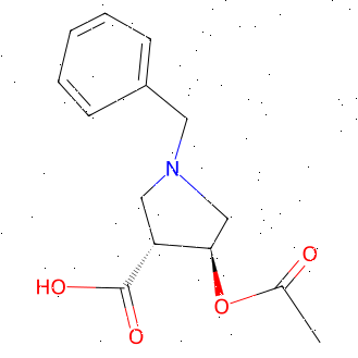 CC(=O)O[C@@H]1CN(Cc2ccccc2)C[C@H]1C(=O)O